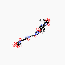 CCc1c2c(nc3ccc(OC(=O)N4CCN(C(=O)CCCCNC(=O)CCCCC(=O)N5CCC(C(=O)O)(C(=O)O)CC5)CC4)cc13)-c1cc3c(c(=O)n1C2)COC(=O)[C@]3(O)CC